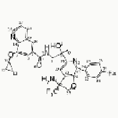 C[C@](O)(CNC(=O)c1cc(OC2CC2)c2ncccc2c1)c1cc2c(c(-c3ccc(F)cc3)n1)OC[C@@]2(N)C(F)(F)F